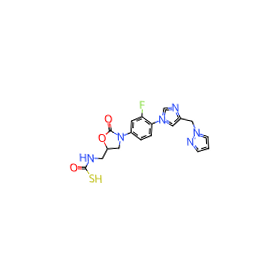 O=C(S)NCC1CN(c2ccc(-n3cnc(Cn4cccn4)c3)c(F)c2)C(=O)O1